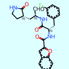 O=C[C@H](C[C@@H]1CCNC1=O)NC(=O)[C@H](Cc1cccc(F)c1)NC(=O)c1cc2ccccc2o1